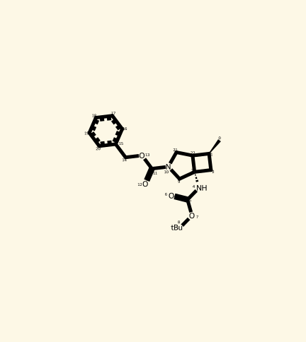 C[C@H]1C[C@@]2(NC(=O)OC(C)(C)C)CN(C(=O)OCc3ccccc3)CC12